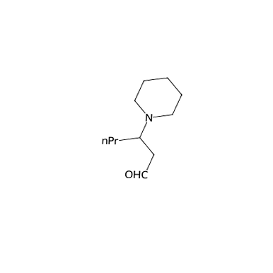 CCCC(CC=O)N1CCCCC1